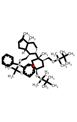 CC1=CC[C@H]2[C@H](CO[Si](c3ccccc3)(c3ccccc3)C(C)(C)C)[C@@H]([C@@]3(C)CC[C@H](O[Si](C)(C)C(C)(C)C)C[C@@H]3CO[Si](C)(C)C(C)(C)C)CC[C@]12C